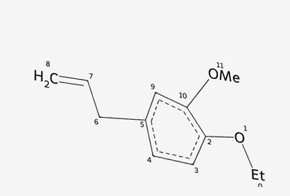 [CH2]COc1ccc(CC=C)cc1OC